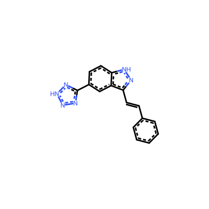 C(=Cc1n[nH]c2ccc(-c3nn[nH]n3)cc12)c1ccccc1